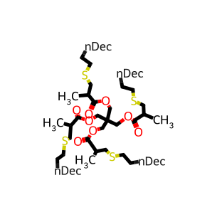 CCCCCCCCCCCCSCC(C)C(=O)OCC(COC(=O)C(C)CSCCCCCCCCCCCC)(COC(=O)C(C)CSCCCCCCCCCCCC)COC(=O)C(C)CSCCCCCCCCCCCC